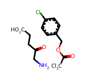 NCC(=O)CCC(=O)O.O=C(OCc1ccc(Cl)cc1)C(Cl)(Cl)Cl